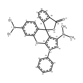 CCN(CC)c1ccc2c(c1)Oc1c(c(N(C)C)nn1-c1ccccc1)C21OC(=O)c2ccccc21